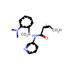 CN(C)c1ccccc1C(=O)O.O=C(O)/C=C\C(=O)Nc1cccnc1